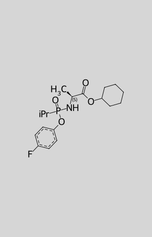 CC(C)P(=O)(N[C@@H](C)C(=O)OC1CCCCC1)Oc1ccc(F)cc1